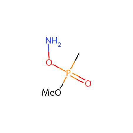 COP(C)(=O)ON